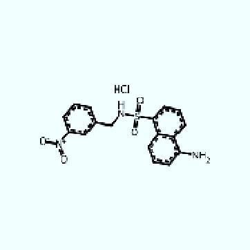 Cl.Nc1cccc2c(S(=O)(=O)NCc3cccc([N+](=O)[O-])c3)cccc12